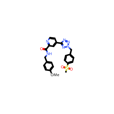 COc1ccc(CNC(=O)c2cc(-c3nnn(Cc4ccc(S(C)(=O)=O)cc4)n3)ccn2)cc1